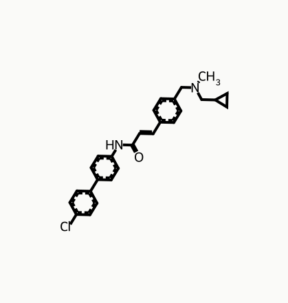 CN(Cc1ccc(/C=C/C(=O)Nc2ccc(-c3ccc(Cl)cc3)cc2)cc1)CC1CC1